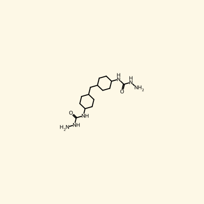 NNC(=O)NC1CCC(CC2CCC(NC(=O)NN)CC2)CC1